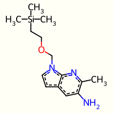 Cc1nc2c(ccn2COCC[Si](C)(C)C)cc1N